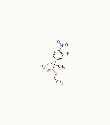 CCOC(=O)C(C)(CC)c1ccc([N+](=O)[O-])c(F)c1